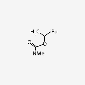 CCC(C)C(C)OC(=O)[N]C